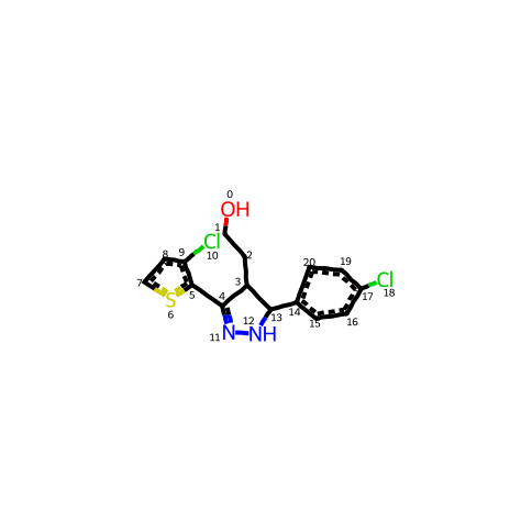 OCCC1C(c2sccc2Cl)=NNC1c1ccc(Cl)cc1